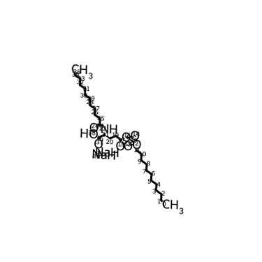 CCCCCCCCCCCCOS(=O)(=O)OC(=O)CC[C@H](NC(=O)CCCCCCCCCCC)C(=O)O.[NaH].[NaH]